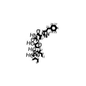 CCC(C)P(=O)(O)OC(C)(CC)C[C@H]1O[C@@H](n2cc(-n3cc(Cc4ccccc4)nn3)c(=O)[nH]c2=O)[C@@H](O)C1O